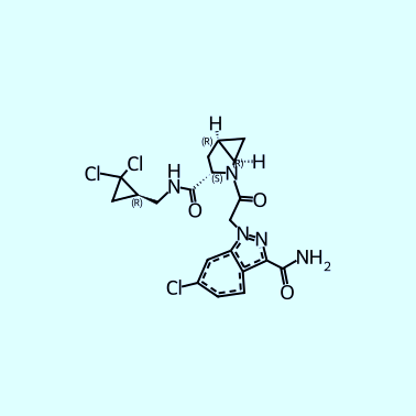 NC(=O)c1nn(CC(=O)N2[C@@H]3C[C@@H]3C[C@H]2C(=O)NC[C@H]2CC2(Cl)Cl)c2cc(Cl)ccc12